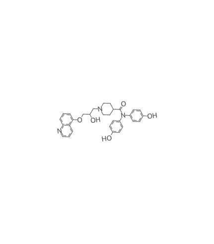 O=C(C1CCN(CC(O)COc2cccc3ncccc23)CC1)N(c1ccc(O)cc1)c1ccc(O)cc1